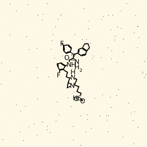 N[C@H](C(=O)Nc1cccc(F)c1CCC1NCC(CCC[SH](=O)=O)N2CC12)[C@@H](c1ccc(F)cc1)c1ccc2c(c1)CCC2